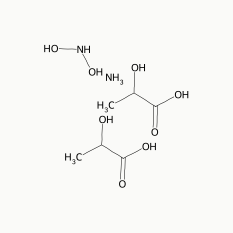 CC(O)C(=O)O.CC(O)C(=O)O.N.ONO